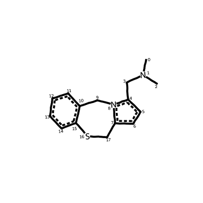 CN(C)Cc1ccc2n1Cc1ccccc1SC2